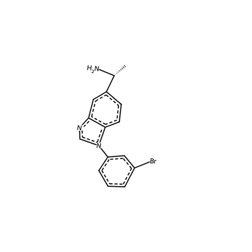 C[C@@H](N)c1ccc2c(c1)ncn2-c1cccc(Br)c1